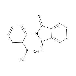 O=C1c2ccccc2C(=O)N1c1ccccc1B(O)O